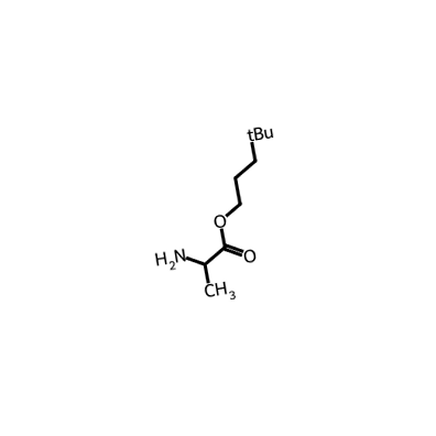 CC(N)C(=O)OCCCC(C)(C)C